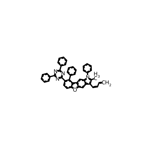 C=C/C=C\c1c(C)n(-c2ccccc2)c2cc3c(cc12)oc1ccc(-c2nc(-c4ccccc4)nc(-c4ccccc4)n2)c(-c2ccccc2)c13